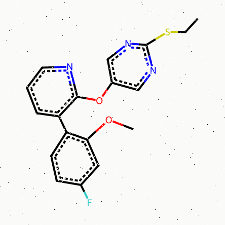 CCSc1ncc(Oc2ncccc2-c2ccc(F)cc2OC)cn1